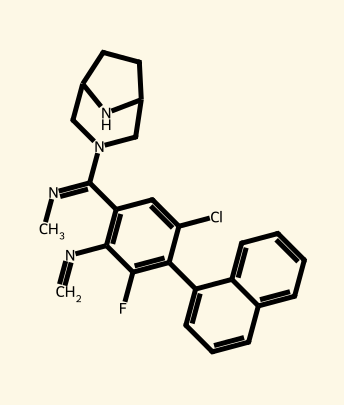 C=Nc1c(/C(=N\C)N2CC3CCC(C2)N3)cc(Cl)c(-c2cccc3ccccc23)c1F